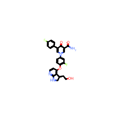 NC(=O)c1cn(-c2ccc(Oc3ccnc4c3C(CCO)CN4)c(F)c2)cc(-c2ccc(F)cc2)c1=O